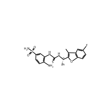 Cc1c([C@@H](NC(=S)Nc2cc(S(N)(=O)=O)ccc2N)C(C)C)oc2ccc(F)cc12